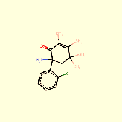 BC1=C(B)C(B)(B)CC(N)(c2ccccc2Cl)C1=O